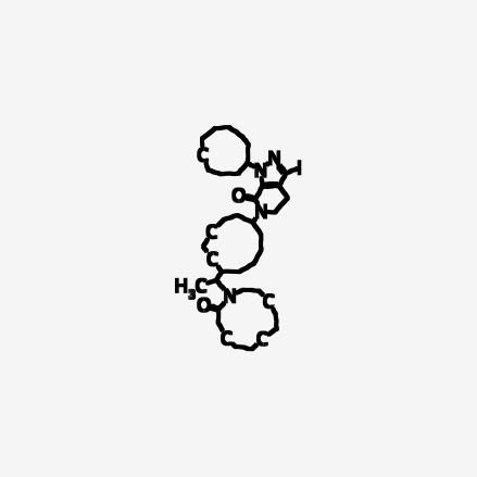 CC(C1CCCCCC(N2CCc3c(I)nn(C4CCCCCCCCC4)c3C2=O)CCCC1)N1CCCCCCCCCCC1=O